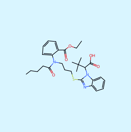 CCCCC(=O)N(CCCSc1nc2ccccc2n1C(C(=O)O)C(C)(C)C)c1ccccc1C(=O)OCC